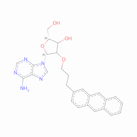 Nc1ncnc2c1ncn2[C@@H]1O[C@H](CO)C(O)C1OCCCc1ccc2cc3ccccc3cc2c1